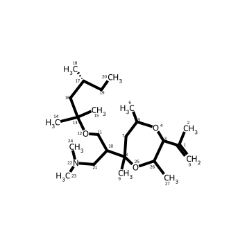 C=C(C)C1OC(C)CC(C)(C(COC(C)(C)C[C@H](C)CC)CN(C)C)OC1C